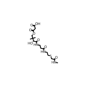 CNC(=O)CSCCNC(=O)CCNC(=O)[C@H](O)C(C)(C)COC(=O)CC(=O)O